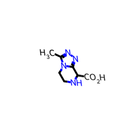 Cc1nnc2n1CCNC2C(=O)O